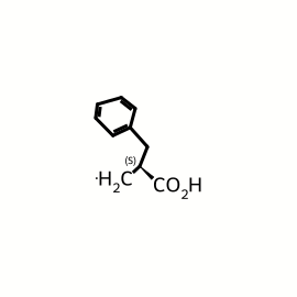 [CH2][C@@H](Cc1ccccc1)C(=O)O